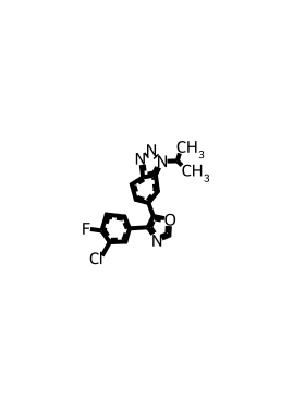 CC(C)n1nnc2ccc(-c3ocnc3-c3ccc(F)c(Cl)c3)cc21